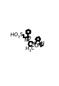 C[C@@H]1CC[C@@H](c2nc(CCS(=O)(=O)O)c(-c3ccccc3)o2)CN1C(=O)c1ccccc1-n1nccn1